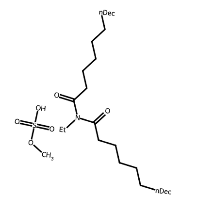 CCCCCCCCCCCCCCCC(=O)N(CC)C(=O)CCCCCCCCCCCCCCC.COS(=O)(=O)O